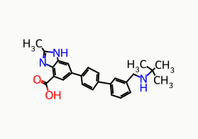 Cc1nc2c(C(=O)O)cc(-c3ccc(-c4cccc(CNC(C)(C)C)c4)cc3)cc2[nH]1